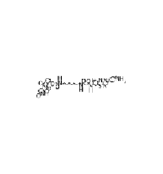 Cc1c(NC(=O)CC(=O)NCCCCCCCCNC(=O)COc2cccc3c2C(=O)N(C2CCC(=O)NC2=O)C3=O)cccc1Sc1ncc(N2CCC(C)(N)CC2)nc1N